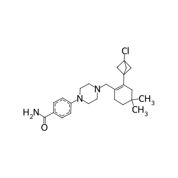 CC1(C)CCC(CN2CCN(c3ccc(C(N)=O)cc3)CC2)=C(C23CC(Cl)(C2)C3)C1